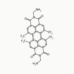 NCN1C(=O)c2cc(C(F)(F)F)c3c4c(C(F)(F)F)cc5c6c(cc(C(F)(F)F)c(c7c(C(F)(F)F)cc(c2c37)C1=O)c64)C(=O)N(CN)C5=O